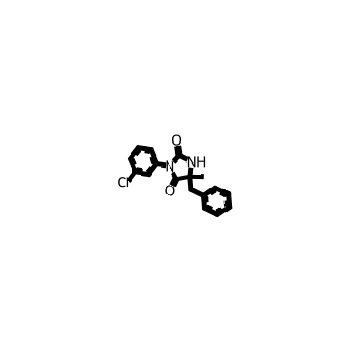 CC1(Cc2ccccc2)NC(=O)N(c2cccc(Cl)c2)C1=O